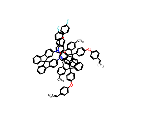 C=Cc1ccc(Oc2ccc(C3(c4cc(C)ccc4C)c4ccccc4-c4ccc(N(c5ccc(-c6ccc(F)cc6)cc5)c5ccc6c(c5)C5(c7ccccc7-6)c6ccccc6-c6ccc(N(c7ccc(-c8ccc(F)cc8)cc7)c7ccc8c(c7)C(c7ccc(Oc9ccc(C=C)cc9)cc7)(c7cc(C)ccc7C)c7ccccc7-8)cc65)cc43)cc2)cc1